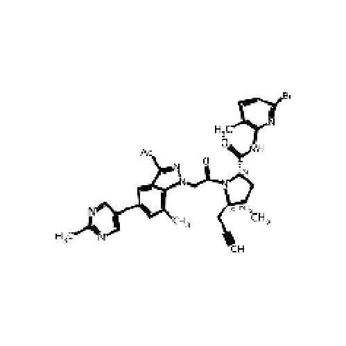 C#CC[C@@H]1[C@@H](C)C[C@@H](C(=O)Nc2nc(Br)ccc2C)N1C(=O)Cn1nc(C(C)=O)c2cc(-c3cnc(C)nc3)cc(C)c21